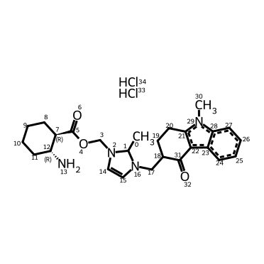 CC1N(COC(=O)[C@@H]2CCCC[C@H]2N)C=CN1CC1CCc2c(c3ccccc3n2C)C1=O.Cl.Cl